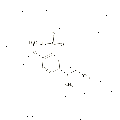 CCC(C)c1ccc(OC)c(S(=O)(=O)Cl)c1